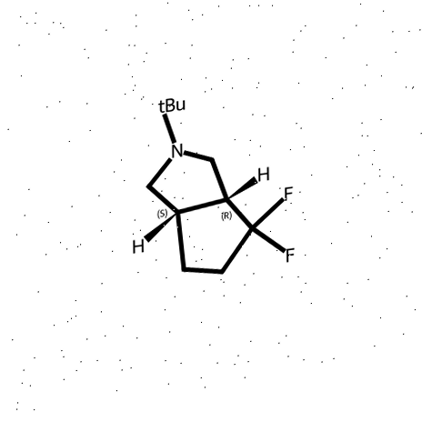 CC(C)(C)N1C[C@H]2CCC(F)(F)[C@H]2C1